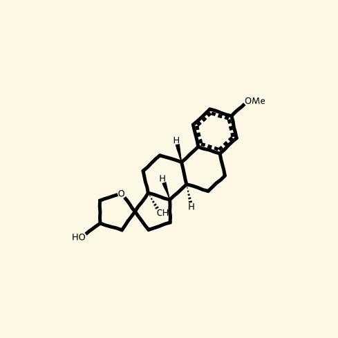 COc1ccc2c(c1)CC[C@@H]1[C@@H]2CC[C@@]2(C)[C@H]1CCC21CC(O)CO1